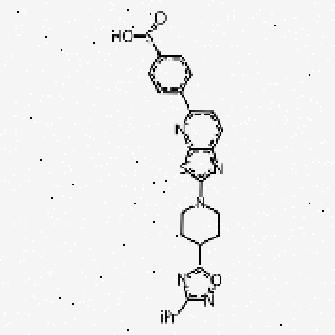 CC(C)c1noc(C2CCN(c3nc4ccc(-c5ccc(S(=O)O)cc5)nc4s3)CC2)n1